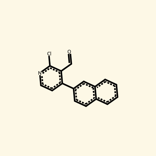 O=Cc1c(-c2ccc3ccccc3c2)ccnc1Cl